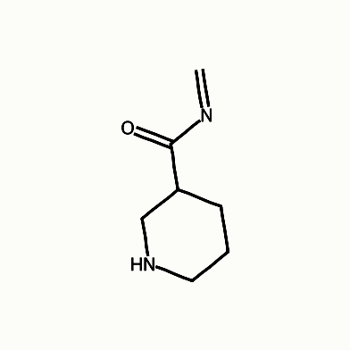 C=NC(=O)C1CCCNC1